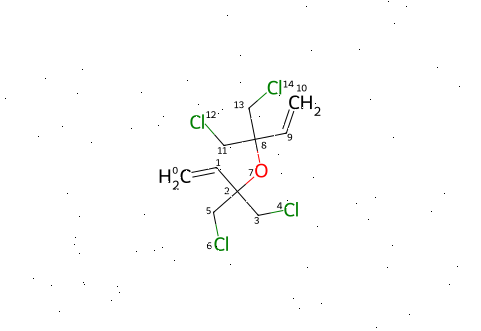 C=CC(CCl)(CCl)OC(C=C)(CCl)CCl